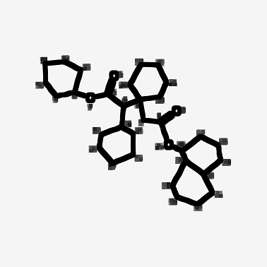 O=C(CC1(C(C(=O)OC2CCCCC2)C2CCCCC2)CCCCC1)OC1CCCC2CCCCC21